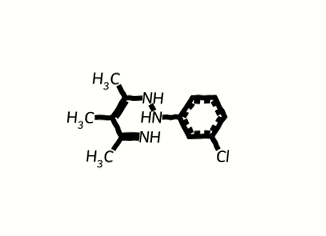 CC(=N)C(C)=C(C)NNc1cccc(Cl)c1